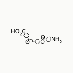 NC1CCC(C(=O)Oc2ccc(C=CC(=O)c3ccc(C(=O)O)cc3)cc2)CC1